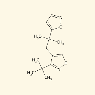 CC(C)(C)c1nocc1CC(C)(C)c1ccno1